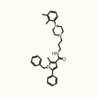 Cc1cccc(N2CCN(CCCNC(=O)c3cc(-c4ccccc4)n(Cc4ccccc4)c3C)CC2)c1C